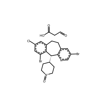 O=CCC(=O)O.O=[N+]1CCC([C@H]2c3ncc(Br)cc3CCc3cc(Cl)cc(Br)c32)CC1